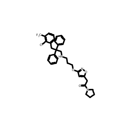 O=C(Cc1cc(OCCCNCC(Cc2cccc(C(F)(F)F)c2Cl)(c2ccccc2)c2ccccc2)no1)N1CCCC1